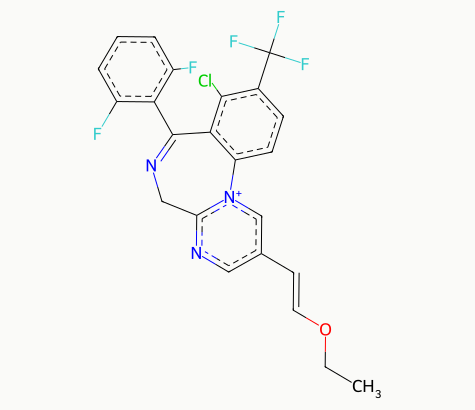 CCO/C=C/c1cnc2[n+](c1)-c1ccc(C(F)(F)F)c(Cl)c1C(c1c(F)cccc1F)=NC2